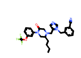 CCCCC1CN(c2cccc(OC(F)(F)F)c2)C(=O)CN1Cc1cncn1Cc1cccc(C#N)c1